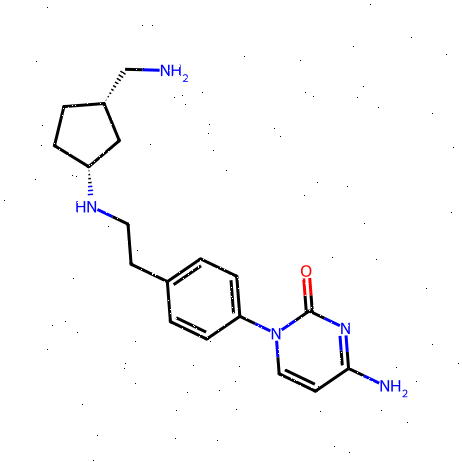 NC[C@H]1CC[C@@H](NCCc2ccc(-n3ccc(N)nc3=O)cc2)C1